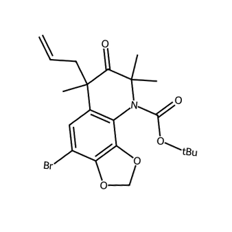 C=CCC1(C)C(=O)C(C)(C)N(C(=O)OC(C)(C)C)c2c1cc(Br)c1c2OCO1